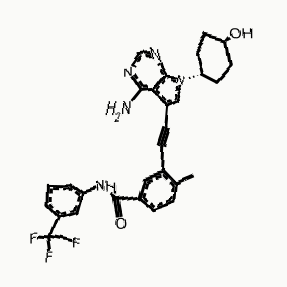 Cc1ccc(C(=O)Nc2cccc(C(F)(F)F)c2)cc1C#Cc1cn([C@H]2CC[C@H](O)CC2)c2ncnc(N)c12